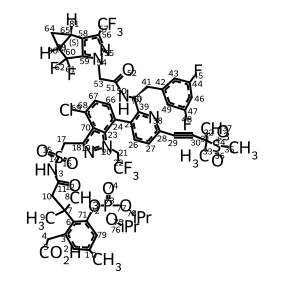 Cc1cc(CC(=O)O)c(C(C)(C)CC(=O)NS(=O)(=O)Cc2nn(CC(F)(F)F)c3c(-c4ccc(C#CC(C)(C)S(C)(=O)=O)nc4[C@H](Cc4cc(F)cc(F)c4)NC(=O)Cn4nc(C(F)(F)F)c5c4C(F)(F)[C@@H]4C[C@H]54)ccc(Cl)c23)c(OP(=O)(OC(C)C)OC(C)C)c1